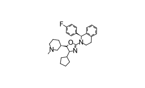 CN1CCC[C@@H](C2OC(N3CCc4ccccc4[C@@H]3c3ccc(F)cc3)=NC2C2CCCC2)C1